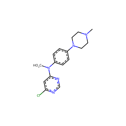 CN1CCN(c2ccc(N(C(=O)O)c3cc(Cl)ncn3)cc2)CC1